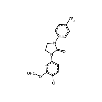 O=COc1cc(N2CCN(c3ccc(C(F)(F)F)cc3)C2=O)ccc1Cl